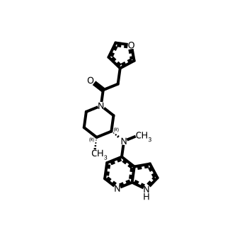 C[C@@H]1CCN(C(=O)Cc2ccoc2)C[C@@H]1N(C)c1ccnc2[nH]ccc12